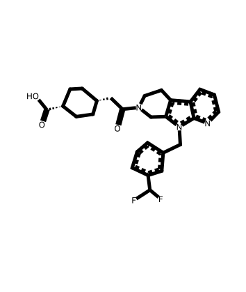 O=C(C[C@H]1CC[C@@H](C(=O)O)CC1)N1CCc2c(n(Cc3cccc(C(F)F)c3)c3ncccc23)C1